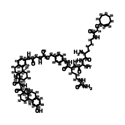 CC(C)C(NC(=O)C(N)CCCCNC(=O)COC1C#CCCCCC1)C(=O)NC(CCCNC(N)=O)C(=O)Nc1ccc(COC(=O)NCC(=O)Nc2ccc3c(c2)[C@@]2(C)CCC[C@](C)(C(=O)NC(=O)[C@@]4(C)CCC[C@]5(C)c6cc(O)ccc6CC[C@@H]45)[C@@H]2CC3)cc1